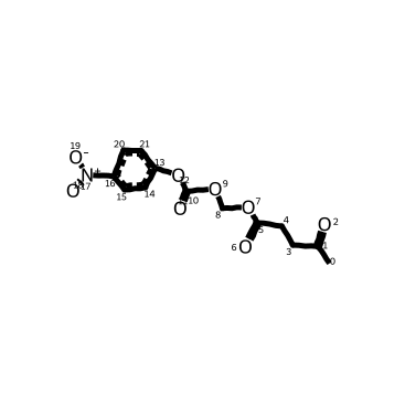 CC(=O)CCC(=O)OCOC(=O)Oc1ccc([N+](=O)[O-])cc1